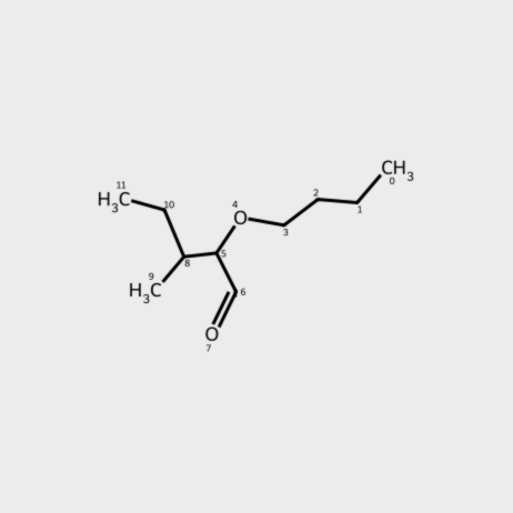 CCCCOC([C]=O)C(C)CC